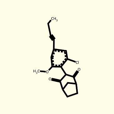 CCC#Cc1cc(Cl)c(C2C(=O)C3CCC(C3)C2=O)c(OC)c1